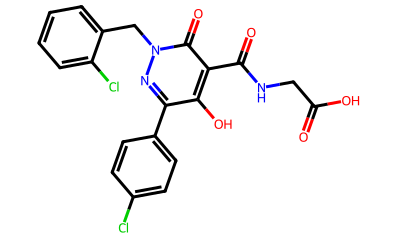 O=C(O)CNC(=O)c1c(O)c(-c2ccc(Cl)cc2)nn(Cc2ccccc2Cl)c1=O